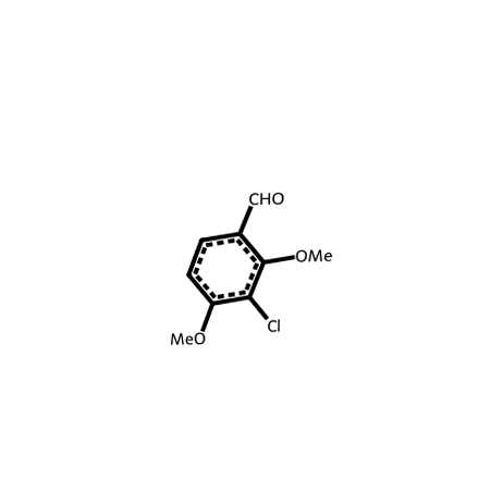 COc1ccc(C=O)c(OC)c1Cl